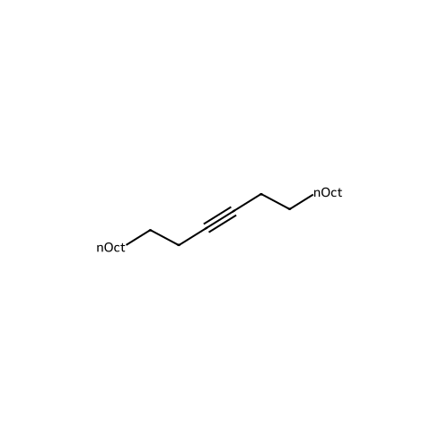 CCCCCCCCCCC#CCCCCCCCCCC